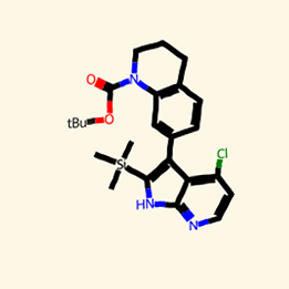 CC(C)(C)OC(=O)N1CCCc2ccc(-c3c([Si](C)(C)C)[nH]c4nccc(Cl)c34)cc21